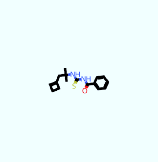 CC(C)(CC1=CCC1)NC(=S)NC(=O)c1ccccc1